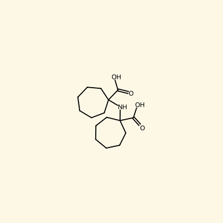 O=C(O)C1(NC2(C(=O)O)CCCCCC2)CCCCCC1